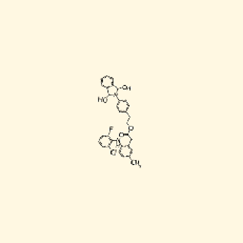 Cc1ccc(Nc2c(F)cccc2Cl)c(CC(=O)OCCc2ccc(N3C(O)c4ccccc4C3O)cc2)c1